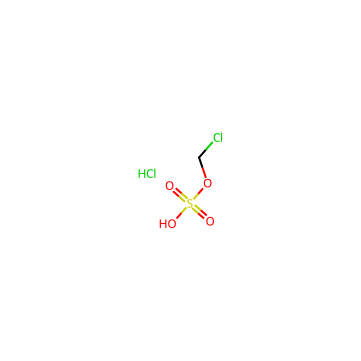 Cl.O=S(=O)(O)OCCl